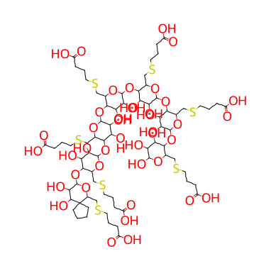 O=C(O)CCCSCC1OC(O)C(O)C(O)C1OC1OC(CSCCCC(=O)O)C(OC2OC(CSCCCC(=O)O)C(OC3OC(CSCCCC(=O)O)C(OC4OC(CSCCCC(=O)O)C(OC5OC(CSCCCC(=O)O)C(OC6OC(CSCCCC(=O)O)C7(CCCC7)C(O)C6O)C(O)C5O)C(O)C4O)C(O)C3O)C(O)C2O)C(O)C1O